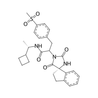 C[C@H](NC(=O)C(Cc1ccc(S(C)(=O)=O)cc1)N1C(=O)N[C@]2(CCc3ccccc32)C1=O)C1CCC1